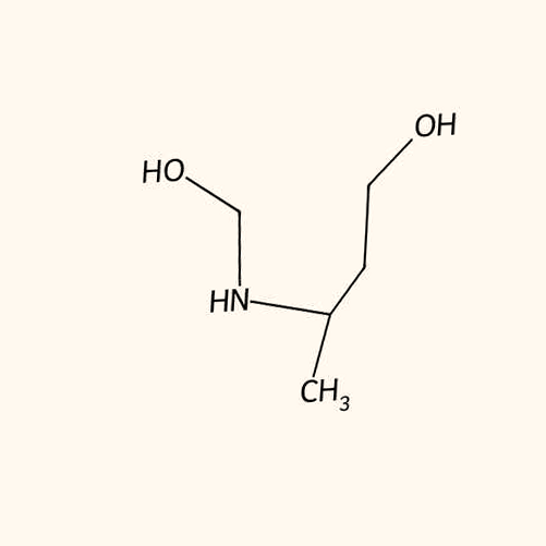 CC(CCO)NCO